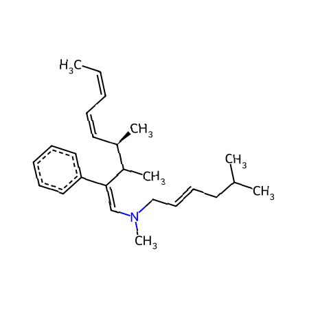 C/C=C\C=C/[C@@H](C)C(C)/C(=C\N(C)C/C=C/CC(C)C)c1ccccc1